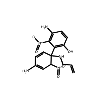 C=CCNC1(c2c(O)ccc(N)c2[N+](=O)[O-])C=CC(N)=CC1[N+](=O)[O-]